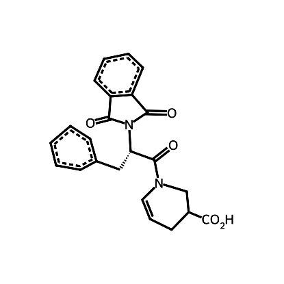 O=C(O)C1CC=CN(C(=O)[C@H](Cc2ccccc2)N2C(=O)c3ccccc3C2=O)C1